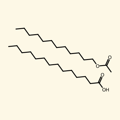 CCCCCCCCCCCCCC(=O)O.CCCCCCCCCCCCOC(C)=O